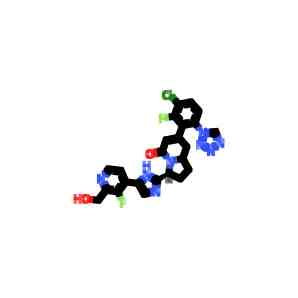 O=C1C=C(c2c(-n3cnnn3)ccc(Cl)c2F)CC2CC[C@@H](c3ncc(-c4ccnc(CO)c4F)[nH]3)N12